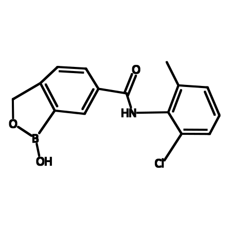 Cc1cccc(Cl)c1NC(=O)c1ccc2c(c1)B(O)OC2